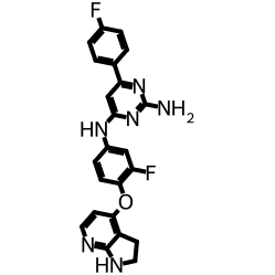 Nc1nc(Nc2ccc(Oc3ccnc4c3CCN4)c(F)c2)cc(-c2ccc(F)cc2)n1